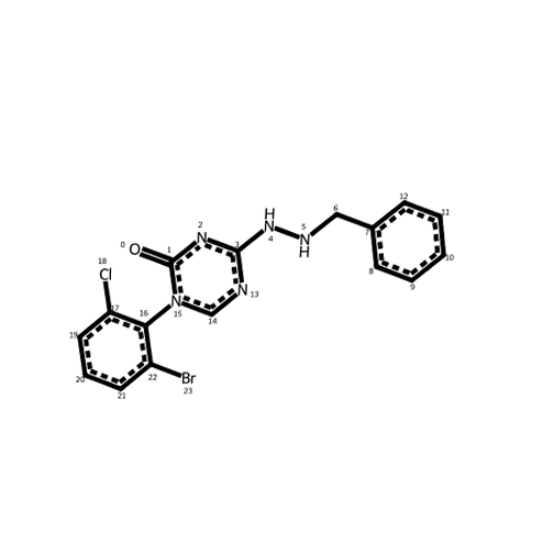 O=c1nc(NNCc2ccccc2)ncn1-c1c(Cl)cccc1Br